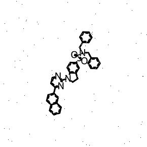 O=S(=O)(c1ccc2c(c1)CCN2c1nccc(-c2ccc3ccccc3c2)n1)N(Cc1ccccc1)Cc1ccccc1